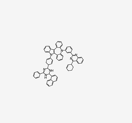 C1=CC(c2nc(-c3cccc(N4c5ccccc5-c5c(n(C6=CCC(C7N=C(c8ccccc8)NC(c8cccc9ccccc89)N7)C=C6)c6ccccc56)-c5ccccc54)c3)nc3ccccc23)CCC1